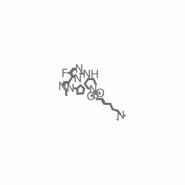 Cc1ncc(-c2nc(NC3CCN(S(=O)(=O)CC=CCCCN(C)C)CC3)ncc2F)n1C1CCCC1